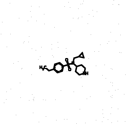 CCc1ccc(S(=O)(=O)N(CC2CC2)C2CCNCC2)cc1